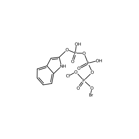 O=P(O)(Oc1cc2ccccc2[nH]1)OP(=O)(O)OP(=O)(OCl)OBr